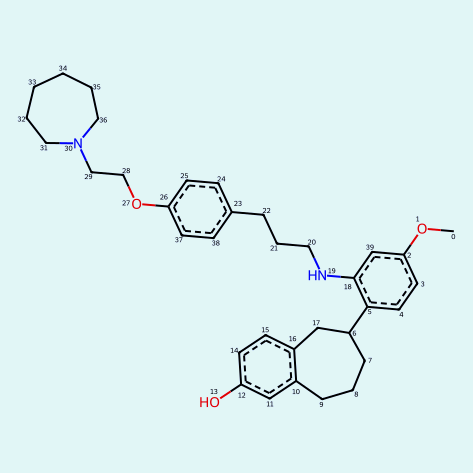 COc1ccc(C2CCCc3cc(O)ccc3C2)c(NCCCc2ccc(OCCN3CCCCCC3)cc2)c1